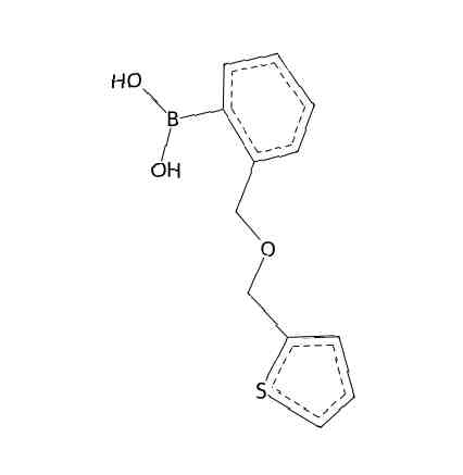 OB(O)c1ccccc1COCc1cccs1